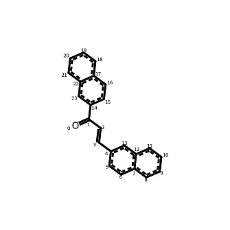 O=C(C=Cc1ccc2ccccc2c1)c1ccc2ccccc2c1